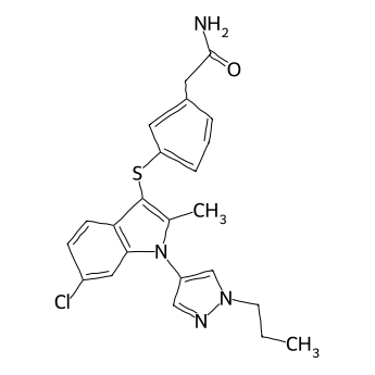 CCCn1cc(-n2c(C)c(Sc3cccc(CC(N)=O)c3)c3ccc(Cl)cc32)cn1